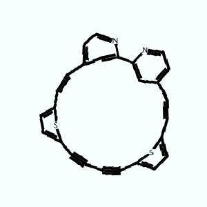 c1c#cc2ccc(ccc3ccnc(c3)c3cc(ccn3)ccc3ccc(c#1)s3)s2